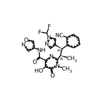 C[C@@H](c1nc(C(=O)Nc2cnoc2)c(O)c(=O)n1C)[C@@H](c1cnn(C(F)F)c1)c1ccccc1C#N